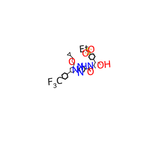 CCS(=O)(=O)c1ccc([C@H](CO)C(C)NC(=O)c2cnc(N3CC(c4ccc(C(F)(F)F)cc4)C[C@H]3COCC3CC3)nc2)cc1